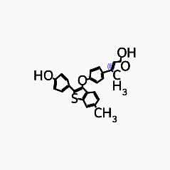 C/C(=C\C(=O)O)c1ccc(Oc2c(-c3ccc(O)cc3)sc3cc(C)ccc23)cc1